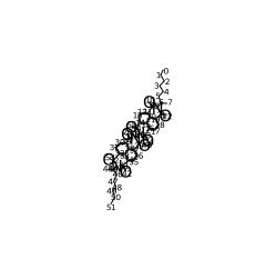 CCCCCCC(C)N1C(=O)c2ccc3c4c(ccc(c24)C1=O)C(=O)N(N1C(=O)c2ccc4c5c(ccc(c25)C1=O)C(=O)N(C(C)CCCCCC)C4=O)C3=O